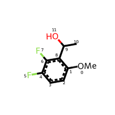 COc1ccc(F)c(F)c1C(C)O